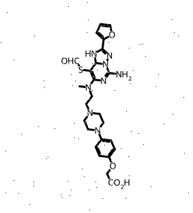 CN(CCN1CCN(c2ccc(OCC(=O)O)cc2)CC1)C1=C(SC=O)C2NC(c3ccco3)=NN2C(N)=N1